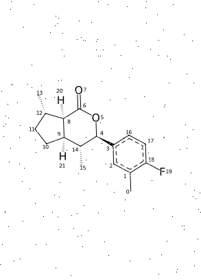 Cc1cc([C@@H]2OC(=O)[C@H]3[C@H](CC[C@@H]3C)[C@H]2C)ccc1F